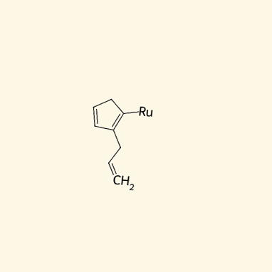 C=CCC1=[C]([Ru])CC=C1